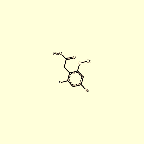 CCOc1cc(Br)cc(F)c1CC(=O)OC